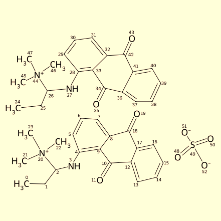 CCC(Nc1cccc2c1C(=O)c1ccccc1C2=O)[N+](C)(C)C.CCC(Nc1cccc2c1C(=O)c1ccccc1C2=O)[N+](C)(C)C.O=S(=O)([O-])[O-]